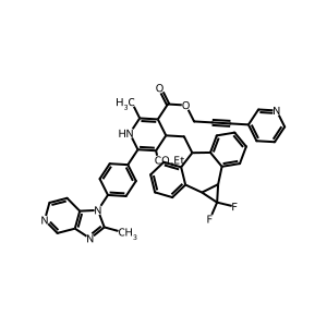 CCOC(=O)C1=C(c2ccc(-n3c(C)nc4cnccc43)cc2)NC(C)=C(C(=O)OCC#Cc2cccnc2)C1CC1c2ccccc2C2C(c3ccccc31)C2(F)F